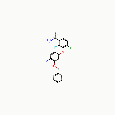 CC[C@@H](N)c1ccc(Cl)c(Oc2ccc(N)c(OCc3ccccc3)c2)c1F